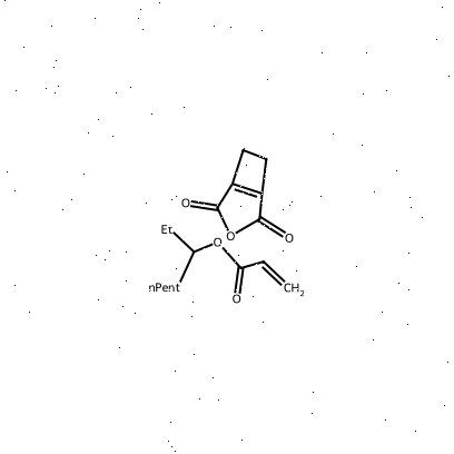 C=CC(=O)OC(CC)CCCCC.O=C1OC(=O)C2=C1CC2